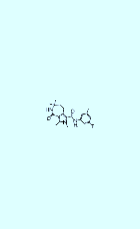 Cc1cc(F)cc(NC(=O)c2c3c(c(C)n2C)C(=O)NC(C)(C)CC3)c1